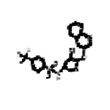 O=S(=O)(Nc1cnc(Oc2cnc3ccccc3c2)c(Cl)c1)c1ccc(C(F)(F)F)cc1